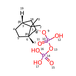 CC1(C)[C@@H]2CC[C@@]1(C)[C@@H](OP(=O)(O)OP(=O)(O)O)C2